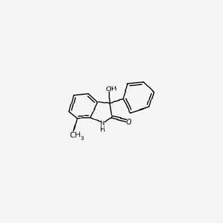 Cc1cccc2c1NC(=O)C2(O)c1ccccc1